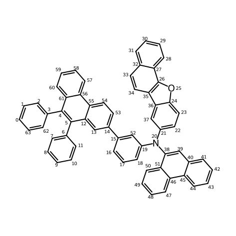 c1ccc(-c2c(-c3ccccc3)c3cc(-c4cccc(N(c5ccc6oc7c8ccccc8ccc7c6c5)c5cc6ccccc6c6ccccc56)c4)ccc3c3ccccc23)cc1